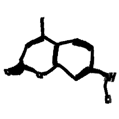 Cc1cc(=O)oc2cc(NCl)ccc12